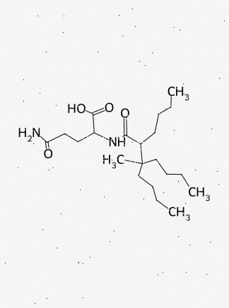 CCCCC(C(=O)NC(CCC(N)=O)C(=O)O)C(C)(CCCC)CCCC